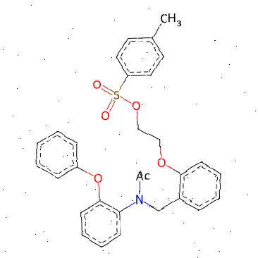 CC(=O)N(Cc1ccccc1OCCOS(=O)(=O)c1ccc(C)cc1)c1ccccc1Oc1ccccc1